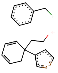 BrCc1ccccc1.OCCC1(c2ccsc2)C=CC=CC1